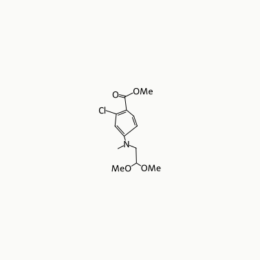 COC(=O)c1ccc(N(C)CC(OC)OC)cc1Cl